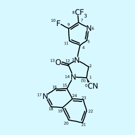 N#C[C@@H]1CN(c2cnc(C(F)(F)F)c(F)c2)C(=O)N1c1cncc2ccccc12